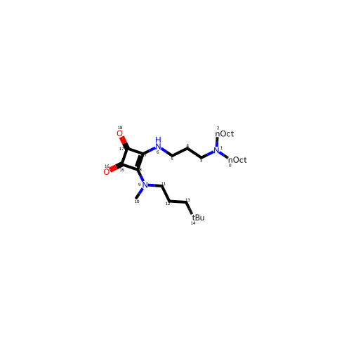 CCCCCCCCN(CCCCCCCC)CCCNc1c(N(C)CCCC(C)(C)C)c(=O)c1=O